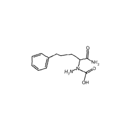 NC(=O)C(CCCc1ccccc1)N(N)C(=O)O